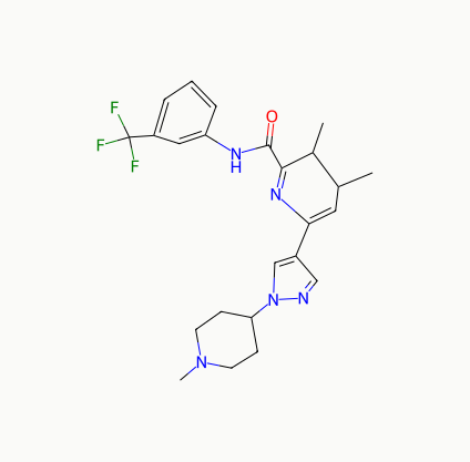 CC1C=C(c2cnn(C3CCN(C)CC3)c2)N=C(C(=O)Nc2cccc(C(F)(F)F)c2)C1C